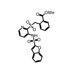 COC(=O)c1ccccc1CS(=O)(=O)c1ncccc1NS(=O)(=O)c1cc2ccccc2o1